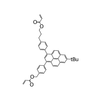 C=CC(=O)OCCCc1ccc(-c2cc(-c3ccc(COC(=O)C=C)cc3)c3ccc4cc(C(C)(C)C)cc5ccc2c3c54)cc1